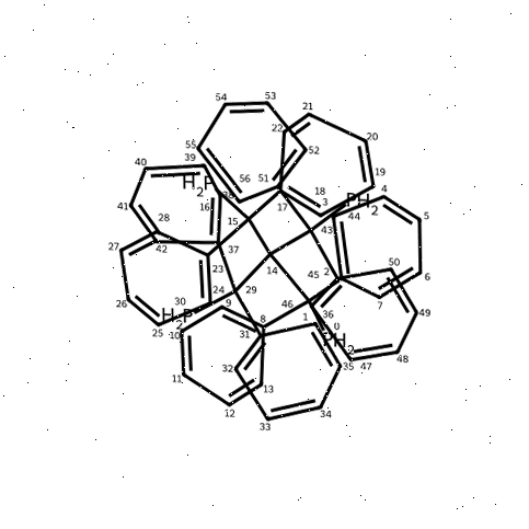 PC(c1ccccc1)(c1ccccc1)C(C(P)(c1ccccc1)c1ccccc1)(C(P)(c1ccccc1)c1ccccc1)C(P)(c1ccccc1)c1ccccc1